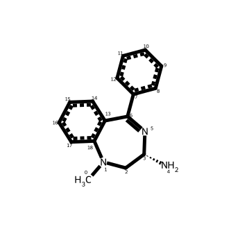 CN1C[C@@H](N)N=C(c2ccccc2)c2ccccc21